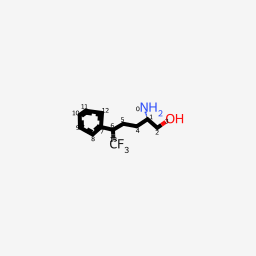 N[C@H](CO)CCC(c1ccccc1)C(F)(F)F